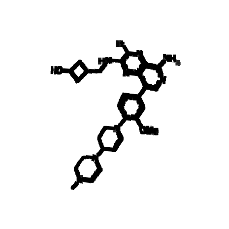 CCc1nc2c(N)ncc(-c3ccc(N4CCC(N5CCN(C)CC5)CC4)c(OC)c3)c2nc1NCC1CC(O)C1